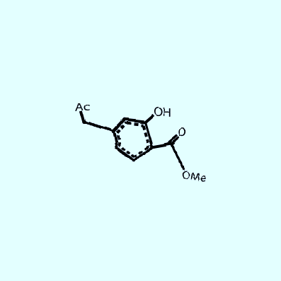 COC(=O)c1ccc(CC(C)=O)cc1O